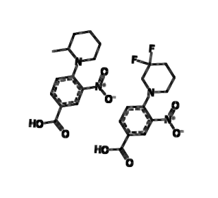 CC1CCCCN1c1ccc(C(=O)O)cc1[N+](=O)[O-].O=C(O)c1ccc(N2CCCC(F)(F)C2)c([N+](=O)[O-])c1